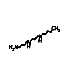 CCCCCNCCCNCCCCN